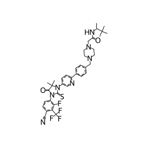 CC(NC(=O)CN1CCN(Cc2ccc(-c3ccc(N4C(=S)N(c5ccc(C#N)c(C(F)(F)F)c5F)C(=O)C4(C)C)cn3)cc2)CC1)C(C)(C)C